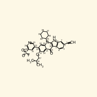 C#Cc1ccc2c(c1)[nH]c1c2c(=O)c2cc(OCC(C)C)c(-c3cncc(S(=O)(=O)F)c3)cc2n1C1CCCCC1